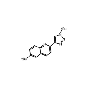 CC(C)(C)c1ccc2nc(-c3cn(C(C)(C)C)nn3)ccc2c1